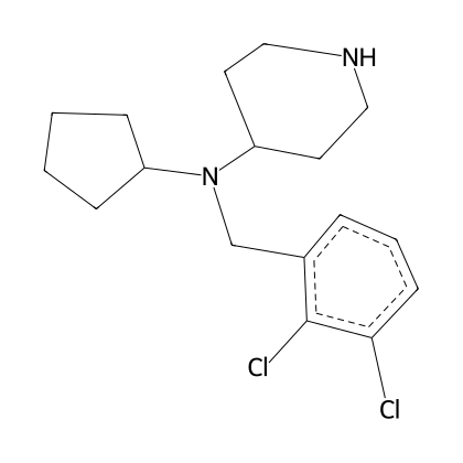 Clc1cccc(CN(C2CCCC2)C2CCNCC2)c1Cl